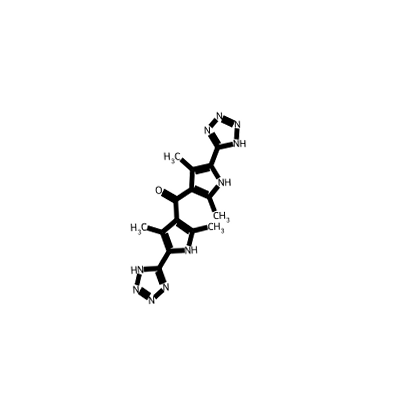 Cc1[nH]c(-c2nnn[nH]2)c(C)c1C(=O)c1c(C)[nH]c(-c2nnn[nH]2)c1C